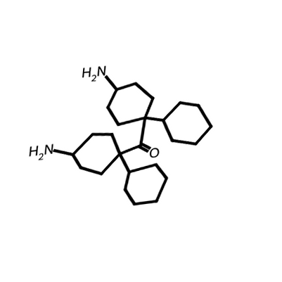 NC1CCC(C(=O)C2(C3CCCCC3)CCC(N)CC2)(C2CCCCC2)CC1